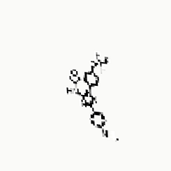 Nc1ccc(-c2nc(NC3COC3)n(-c3ccc(OC(F)(F)F)cc3)n2)cc1